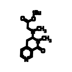 CN(CC(=O)OC(C)(C)C)C1Cc2ccncc2C(=O)N1C